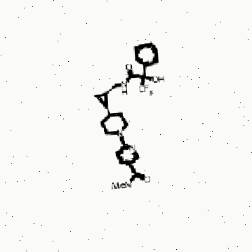 CNC(=O)c1ccc(N2CCC([C@H]3C[C@H]3CNC(=O)C(O)(c3ccccc3)C(F)(F)F)CC2)nc1